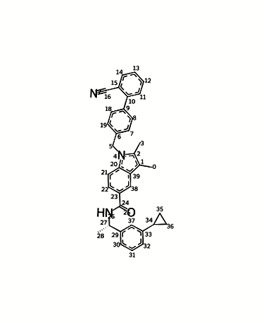 Cc1c(C)n(Cc2ccc(-c3ccccc3C#N)cc2)c2ccc(C(=O)N[C@@H](C)c3cccc(C4CC4)c3)cc12